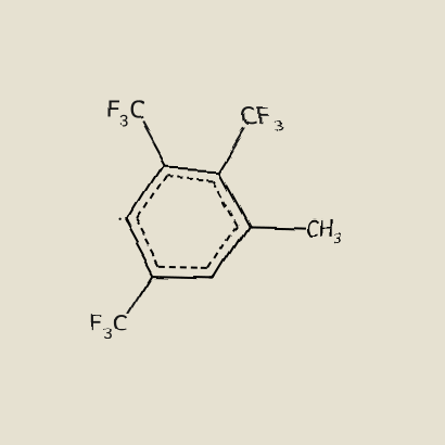 Cc1cc(C(F)(F)F)[c]c(C(F)(F)F)c1C(F)(F)F